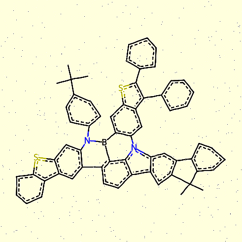 CC(C)(C)c1ccc(N2B3c4cc5sc(-c6ccccc6)c(-c6ccccc6)c5cc4-n4c5cc6c(cc5c5ccc(c3c54)-c3cc4c(cc32)sc2ccccc24)C(C)(C)c2ccccc2-6)cc1